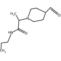 CCCNC(=O)C(C)N1CCC(C=O)CC1